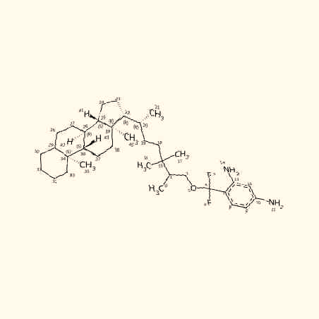 CC(COC(F)(F)c1ccc(N)cc1N)C(C)(C)CC[C@@H](C)[C@H]1CC[C@H]2[C@@H]3CCC4CCCC[C@]4(C)[C@H]3CC[C@]12C